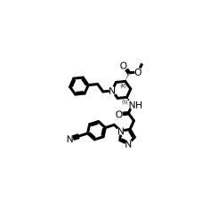 COC(=O)[C@@H]1C[C@H](NC(=O)Cc2cncn2Cc2ccc(C#N)cc2)CN(CCc2ccccc2)C1